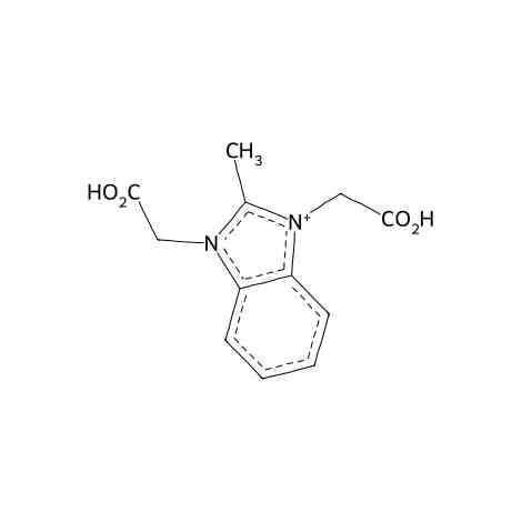 Cc1n(CC(=O)O)c2ccccc2[n+]1CC(=O)O